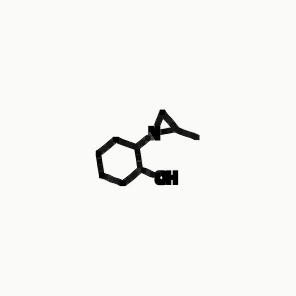 CC1CN1C1CCCCC1O